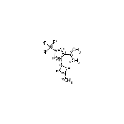 CC(C)c1nc(C(F)(F)F)cn1C1CN(C)C1